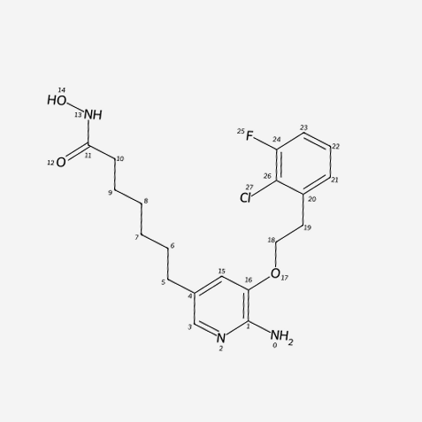 Nc1ncc(CCCCCCC(=O)NO)cc1OCCc1cccc(F)c1Cl